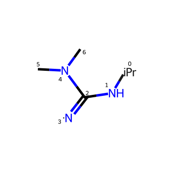 CC(C)NC(=[N])N(C)C